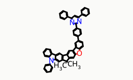 CC1(C)c2cc3oc4ccc(-c5ccc(-c6nc(-c7ccccc7)cc(-c7ccccc7)n6)cc5)cc4c3cc2-c2cc3c4ccccc4n(-c4ccccc4)c3cc21